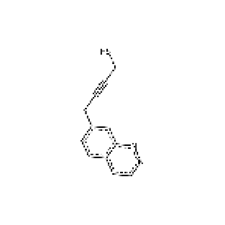 SCC#CCc1ccc2ccnnc2c1